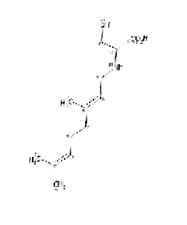 CC(C)=CCC/C(C)=C/CN[C@H](CS)C(=O)O